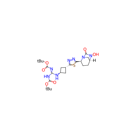 CC(C)(C)OC(=O)N=C(NC(=O)OC(C)(C)C)N[C@H]1C[C@H](c2nnc([C@@H]3CC[C@H]4CN3C(=O)N4O)s2)C1